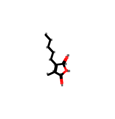 CCCCCC1=C(C)C(=O)OC1=O